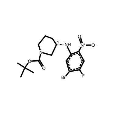 CC(C)(C)OC(=O)N1CCC[C@H](Nc2cc(Br)c(F)cc2[N+](=O)[O-])C1